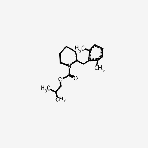 Cc1cccc(C)c1CC1CCCCN1C(=O)OCC(C)C